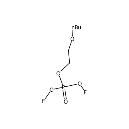 CCCCOCCOP(=O)(OF)OF